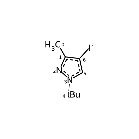 Cc1nn(C(C)(C)C)cc1I